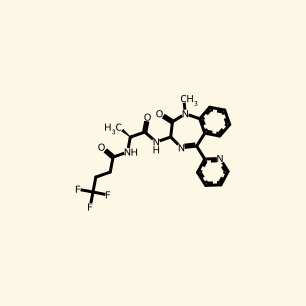 C[C@H](NC(=O)CCC(F)(F)F)C(=O)NC1N=C(c2ccccn2)c2ccccc2N(C)C1=O